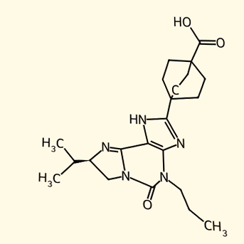 CCCN1C(=O)N2C[C@@H](C(C)C)N=C2c2[nH]c(C34CCC(C(=O)O)(CC3)CC4)nc21